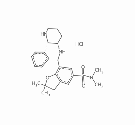 CN(C)S(=O)(=O)c1cc(CN[C@H]2CCCN[C@H]2c2ccccc2)c2c(c1)CC(C)(C)O2.Cl